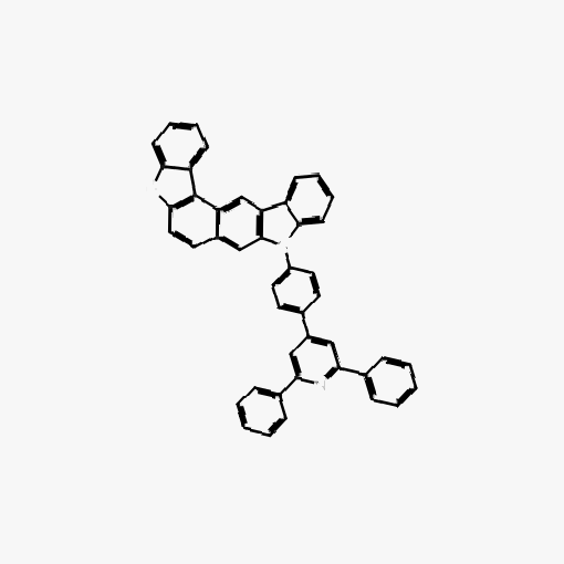 c1ccc(-c2cc(-c3ccc(-n4c5ccccc5c5cc6c(ccc7oc8ccccc8c76)cc54)cc3)cc(-c3ccccc3)n2)cc1